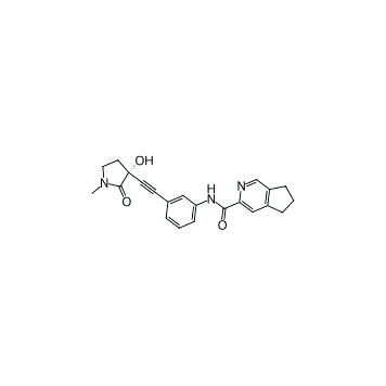 CN1CC[C@@](O)(C#Cc2cccc(NC(=O)c3cc4c(cn3)CCC4)c2)C1=O